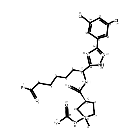 CCC(=O)CCCCC[C@H](NC(=O)[C@H]1CC[N+](C)(OC(=O)C(F)(F)F)C1)c1nc(-c2cc(Cl)cc(Cl)c2)n[nH]1